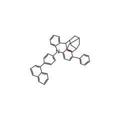 c1ccc(-c2ccc(N(c3ccc(-c4cccc5ccccc45)cc3)c3ccccc3C3C4CC5CC(C4)CC3C5)cc2)cc1